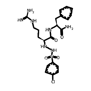 N=C(N)NCCC[C@H](NNS(=O)(=O)c1ccc(Cl)cc1)C(=O)N[C@@H](Cc1ccccc1)C(N)=O